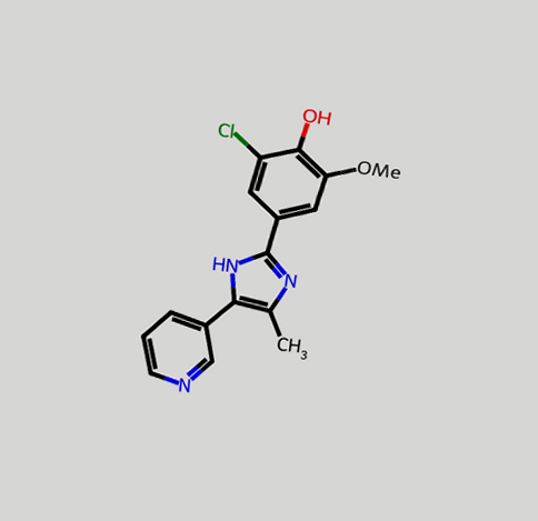 COc1cc(-c2nc(C)c(-c3cccnc3)[nH]2)cc(Cl)c1O